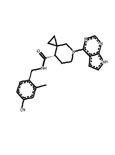 Cc1cc(C#N)ccc1CNC(=O)[C@H]1CCN(c2ncnc3[nH]ccc23)CC12CC2